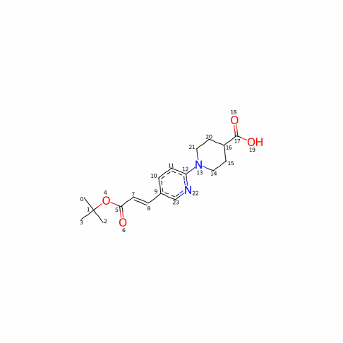 CC(C)(C)OC(=O)/C=C/c1ccc(N2CCC(C(=O)O)CC2)nc1